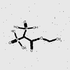 CCOC(=O)C(P(=O)(O)O)P(=O)(O)O